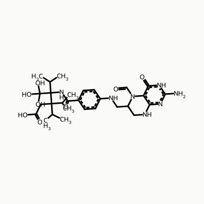 CC(C)C(CC(=O)O)(C(C)C)C(NC(=O)c1ccc(NCC2CNc3nc(N)[nH]c(=O)c3N2C=O)cc1)(C(C)C)C(O)(O)O